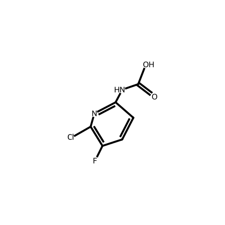 O=C(O)Nc1ccc(F)c(Cl)n1